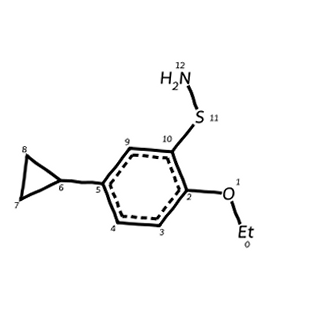 CCOc1ccc(C2CC2)cc1SN